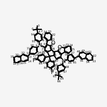 CC(C)(C)c1ccc(N(c2ccc(-c3ccc4ccccc4c3)cc2)c2cc3c(c4oc5ccccc5c24)-c2c(cc(N(c4ccc(-c5ccc6ccccc6c5)cc4)c4ccc(C(C)(C)C)cc4)c4c2oc2ccccc24)C3(c2ccc(F)cc2)c2ccc(F)cc2)cc1